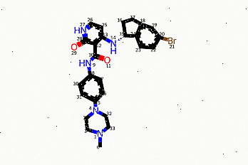 CN1CCN(c2ccc(NC(=O)c3c(N[C@@H]4CCc5cc(Br)ccc54)cc[nH]c3=O)cc2)CC1